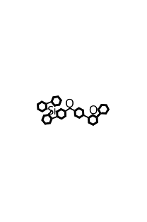 O=C(c1ccc(-c2cccc3c2oc2ccccc23)cc1)c1ccc2c(c1)[Si]1(c3ccccc3-c3ccccc31)c1ccccc1-2